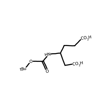 CC(C)(C)OC(=O)NC(CCC(=O)O)CC(=O)O